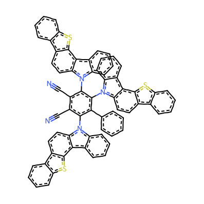 N#Cc1c(C#N)c(-n2c3ccccc3c3c4sc5ccccc5c4ccc32)c(-n2c3ccccc3c3c4sc5ccccc5c4ccc32)c(-c2ccccc2)c1-n1c2ccccc2c2c3sc4ccccc4c3ccc21